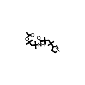 CC(=O)OC(C)(C)CC(C)(C)NC(=O)C(C)(C)CC(C)(C)C1CCSS1